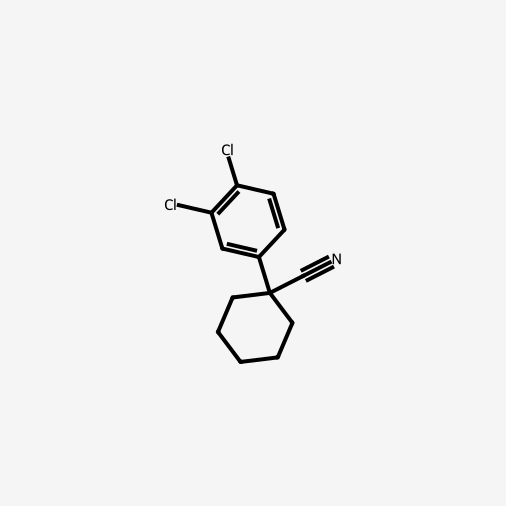 N#CC1(c2ccc(Cl)c(Cl)c2)CCCCC1